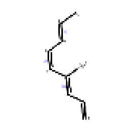 C=C/C=C(Br)/C=C\C=C\C